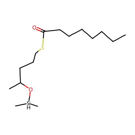 CCCCCCCC(=O)SCCCC(C)O[SiH](C)C